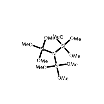 CO[Si](OC)(OC)N([Si](OC)(OC)OC)[Si](OC)(OC)OC